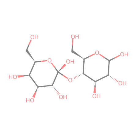 OC[C@H]1O[C@](O)(O[C@H]2[C@H](O)[C@@H](O)C(O)O[C@@H]2CO)[C@H](O)[C@@H](O)[C@H]1O